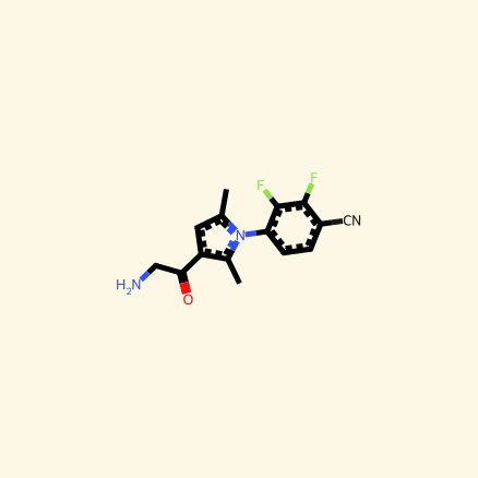 Cc1cc(C(=O)CN)c(C)n1-c1ccc(C#N)c(F)c1F